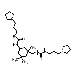 CC1(C)CC(NC(=O)NCCCN2CCCC2)CC(C)(CNC(=O)NCCCN2CCCC2)C1